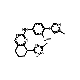 COc1cc(Nc2ncc3c(n2)C(c2nc(C)no2)CCC3)ccc1-n1cnc(C)c1